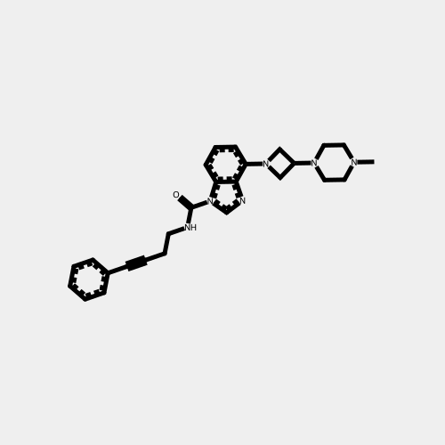 CN1CCN(C2CN(c3cccc4c3ncn4C(=O)NCCC#Cc3ccccc3)C2)CC1